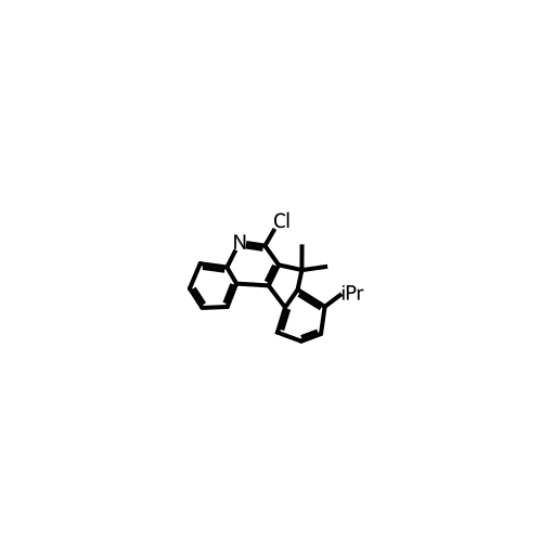 CC(C)c1cccc2c1C(C)(C)c1c(Cl)nc3ccccc3c1-2